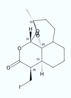 C[C@]12CCC3CCC[C@H]4[C@@H](CI)C(=O)O[C@H](O1)[C@@]34OO2